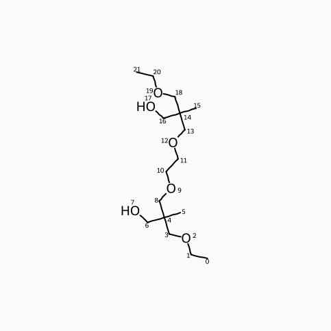 CCOCC(C)(CO)COCCOCC(C)(CO)COCC